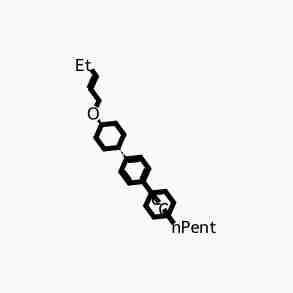 CCC=CCO[C@H]1CC[C@H](c2ccc(C34CCC(CCCCC)(CC3)CC4)cc2)CC1